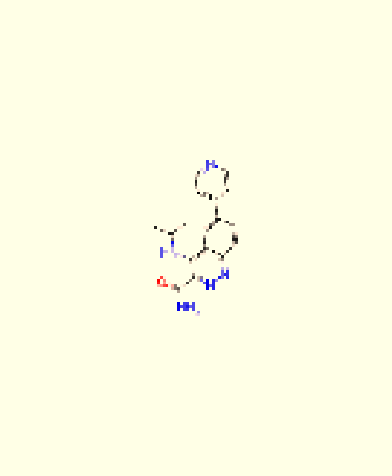 CC(C)Nc1c(C(N)=O)nnc2ccc(-c3ccncc3)cc12